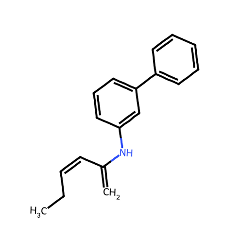 C=C(/C=C\CC)Nc1cccc(-c2ccccc2)c1